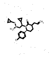 C=CCC1CC[C@@H](c2ccc(Cl)cc2)N(C(CN(C)SC2CC2)C2CC2)C1=O